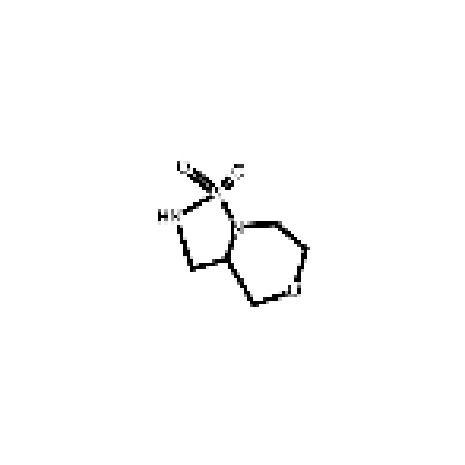 O=S1(=O)NCC2COCCN21